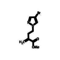 C=C(CCn1cc(Br)cn1)C(=O)OC